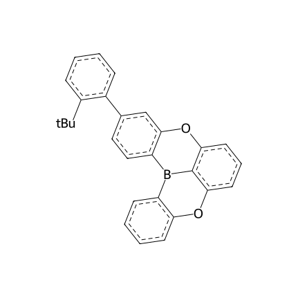 CC(C)(C)c1ccccc1-c1ccc2c(c1)Oc1cccc3c1B2c1ccccc1O3